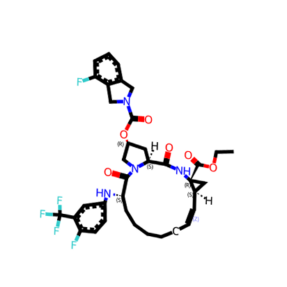 CCOC(=O)[C@@]12C[C@H]1/C=C\CCCCC[C@H](Nc1ccc(F)c(C(F)(F)F)c1)C(=O)N1C[C@H](OC(=O)N3Cc4cccc(F)c4C3)C[C@H]1C(=O)N2